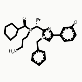 CC(C)[C@H](c1nc(-c2cccc(Cl)c2)cn1Cc1ccccc1)N(CCCN)C(=O)C1CCCCC1